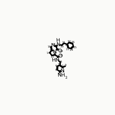 Cc1nc(N)ccc1CNC(=O)C1CCc2cnc(NCCc3ccccc3)c(=O)n21